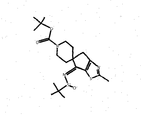 Cc1nc2c(s1)C(=N[S+]([O-])C(C)(C)C)C1(CCN(C(=O)OC(C)(C)C)CC1)C2